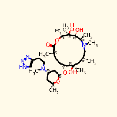 CC[C@H]1OC(=O)[C@H](C)CC[C@@H](O[C@H]2C[C@@H](N(C)CCc3c[nH]nn3)C[C@@H](C)O2)[C@](C)(O)C[C@@H](C)CN(C)[C@H](C)[C@@H](O)[C@]1(C)O